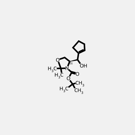 CC(C)(C)OC(=O)N1[C@H](C(O)C2=CCCC2)COC1(C)C